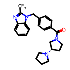 O=C(c1ccc(Cn2c(C(F)(F)F)nc3ccccc32)cc1)N1CC[C@H](N2CCCC2)C1